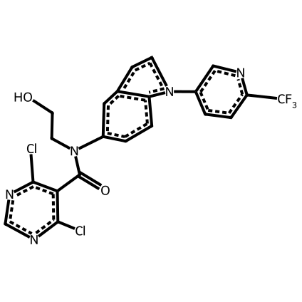 O=C(c1c(Cl)ncnc1Cl)N(CCO)c1ccc2c(ccn2-c2ccc(C(F)(F)F)nc2)c1